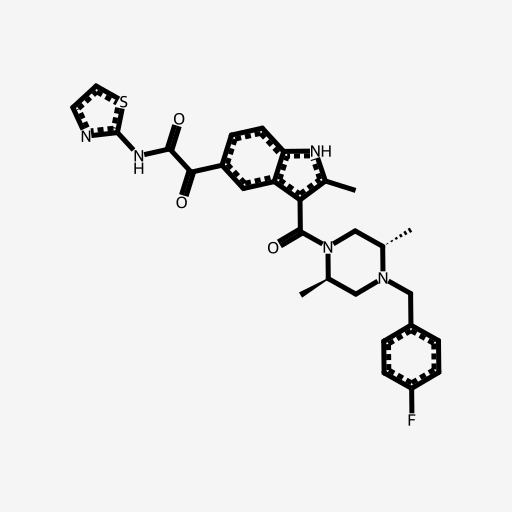 Cc1[nH]c2ccc(C(=O)C(=O)Nc3nccs3)cc2c1C(=O)N1C[C@H](C)N(Cc2ccc(F)cc2)C[C@H]1C